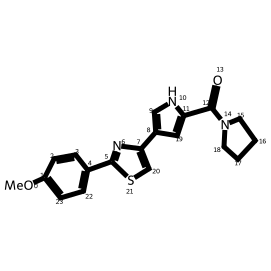 COc1ccc(-c2nc(-c3c[nH]c(C(=O)N4CCCC4)c3)cs2)cc1